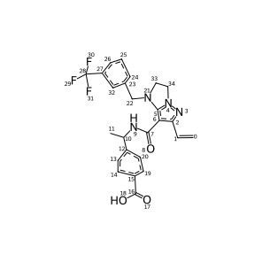 C=Cc1nn2c(c1C(=O)NC(C)c1ccc(C(=O)O)cc1)N(Cc1cccc(C(F)(F)F)c1)CC2